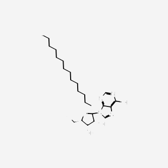 OC[C@H]1O[C@@](CCCCCCCCCCCCCCl)(n2cnc3c(O)ncnc32)[C@H](O)[C@@H]1O